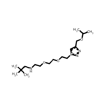 CC(C)OCc1cn(CCOCCOCCNCC(C)(C)C)nn1